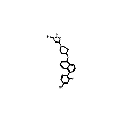 CC(C)N1C=C(N2CCC(Oc3ccnc4c(-c5ccc(C#N)cc5F)cccc34)CC2)ON1